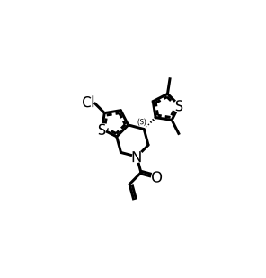 C=CC(=O)N1Cc2sc(Cl)cc2[C@H](c2cc(C)sc2C)C1